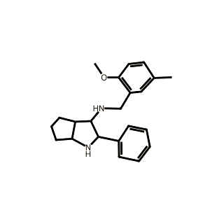 COc1ccc(C)cc1CNC1C(c2ccccc2)NC2CCCC21